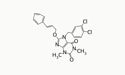 Cn1c(=O)c2c(nc(OC/C=C/c3ccccc3)n2Cc2ccc(Cl)c(Cl)c2)n(C)c1=O